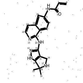 C=CC(=O)Nc1ccc2c(Nc3n[nH]c4c3CNC4(C)C)nccc2c1